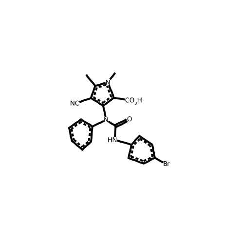 Cc1c(C#N)c(N(C(=O)Nc2ccc(Br)cc2)c2ccccc2)c(C(=O)O)n1C